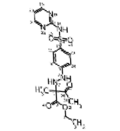 CCOC(=O)C(C)(NNc1ccc(S(=O)(=O)Nc2ncccn2)cc1)C(C)=O